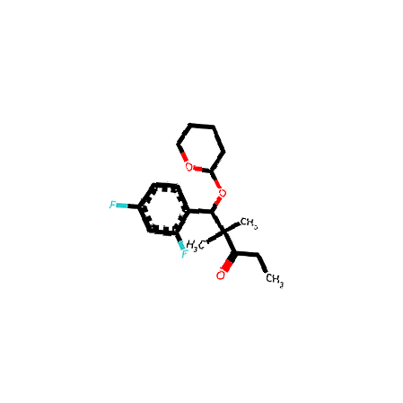 CCC(=O)C(C)(C)C(OC1CCCCO1)c1ccc(F)cc1F